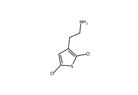 NCCc1cc(Cl)sc1Cl